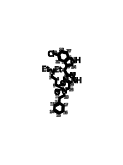 CCN(CC)CCCS(=O)(=O)N(CCc1ccccc1)Cc1nc(Cc2c[nH]c3ccc(Cl)cc23)n[nH]1